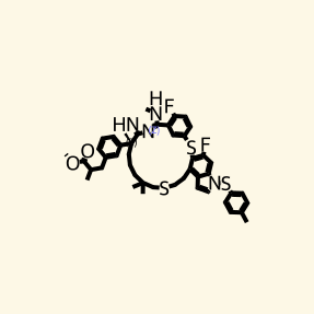 CN/C1=N\C(=N)[C@@](C)(c2cccc(CC(C)C(=O)OC)c2)CCCC(C)(C)CSCCc2c(c(F)cc3c2ccn3Sc2ccc(C)cc2)Sc2ccc(F)c1c2